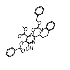 COC(=O)c1nc(C2CCc3ccccc3N2C(=O)OCc2ccccc2)nc(O)c1OC(=O)c1ccccc1